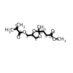 C=C(C)C(=O)OCC1COC(C)(CCC(=O)OC)O1